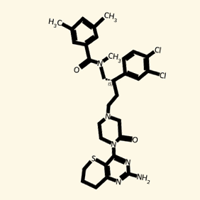 Cc1cc(C)cc(C(=O)N(C)C[C@@H](CCN2CCN(c3nc(N)nc4c3SCCC4)C(=O)C2)c2ccc(Cl)c(Cl)c2)c1